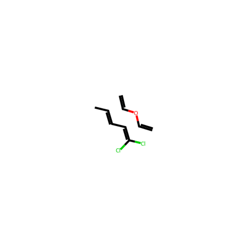 C=COC=C.CC=CC=C(Cl)Cl